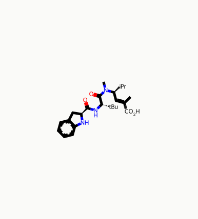 C/C(=C\[C@H](C(C)C)N(C)C(=O)[C@@H](NC(=O)[C@@H]1Cc2ccccc2N1)C(C)(C)C)C(=O)O